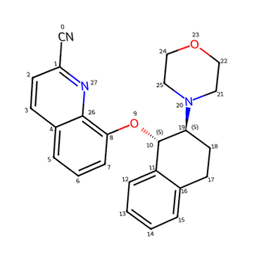 N#Cc1ccc2cccc(O[C@H]3c4ccccc4CC[C@@H]3N3CCOCC3)c2n1